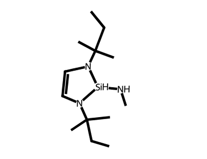 CCC(C)(C)N1C=CN(C(C)(C)CC)[SiH]1NC